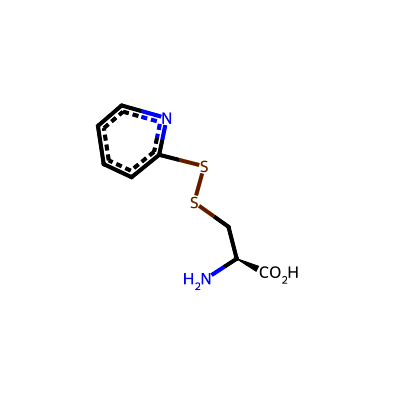 N[C@@H](CSSc1ccccn1)C(=O)O